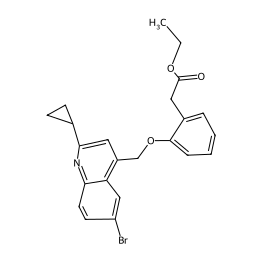 CCOC(=O)Cc1ccccc1OCc1cc(C2CC2)nc2ccc(Br)cc12